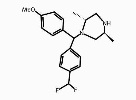 COc1ccc(C(c2ccc(C(F)F)cc2)N2C[C@H](C)NC[C@H]2C)cc1